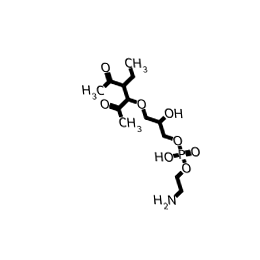 CCC(C(C)=O)C(OCC(O)COP(=O)(O)OCCN)C(C)=O